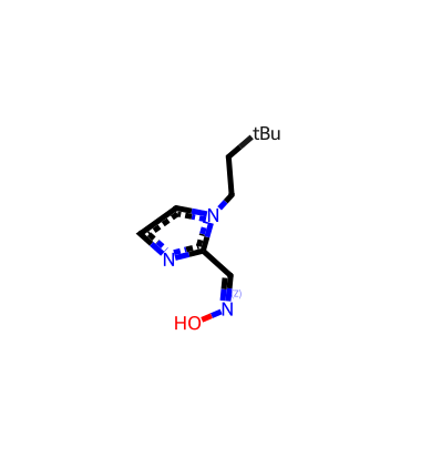 CC(C)(C)CCn1ccnc1/C=N\O